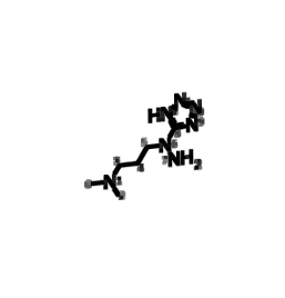 CN(C)CCCN(N)c1nnn[nH]1